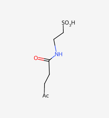 CC(=O)CCC(=O)NCCS(=O)(=O)O